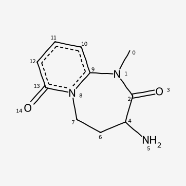 CN1C(=O)C(N)CCn2c1cccc2=O